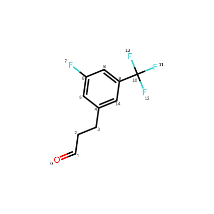 O=CCCc1cc(F)cc(C(F)(F)F)c1